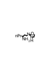 CCCC(N)CC/N=C1\NCCO1